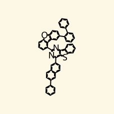 c1ccc(-c2ccc3cc(-c4nc(-c5cccc6oc7ccc(-c8ccccc8-c8ccccc8)cc7c56)nc5c4sc4ccccc45)ccc3c2)cc1